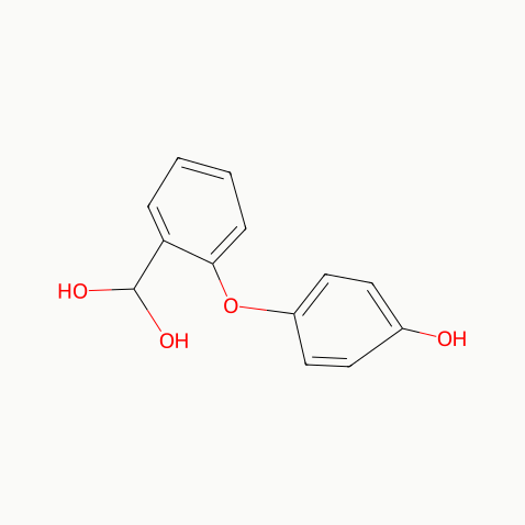 Oc1ccc(Oc2ccccc2C(O)O)cc1